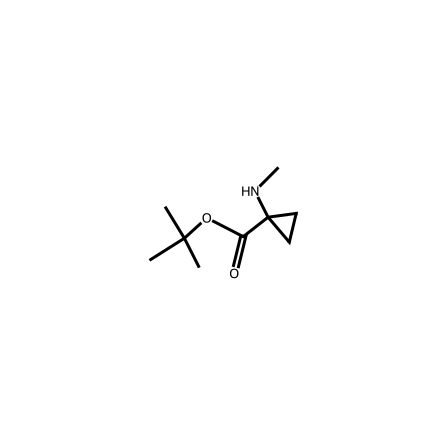 CNC1(C(=O)OC(C)(C)C)CC1